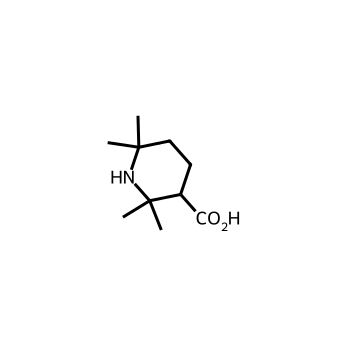 CC1(C)CCC(C(=O)O)C(C)(C)N1